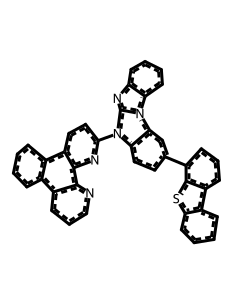 c1ccc2c(c1)nc1n(-c3ccc4c5ccccc5c5cccnc5c4n3)c3ccc(-c4cccc5c4sc4ccccc45)cc3n21